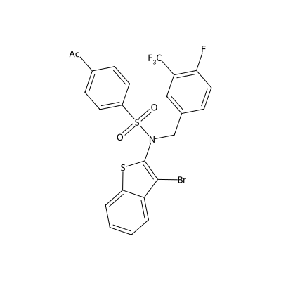 CC(=O)c1ccc(S(=O)(=O)N(Cc2ccc(F)c(C(F)(F)F)c2)c2sc3ccccc3c2Br)cc1